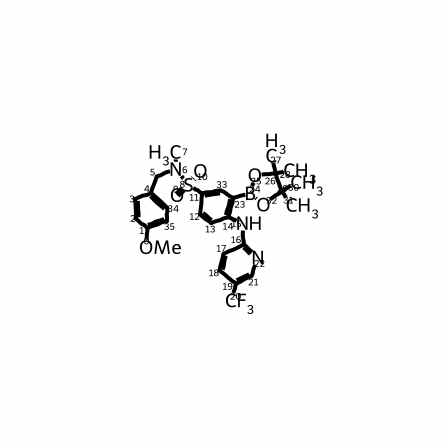 COc1ccc(CN(C)S(=O)(=O)c2ccc(Nc3ccc(C(F)(F)F)cn3)c(B3OC(C)(C)C(C)(C)O3)c2)cc1